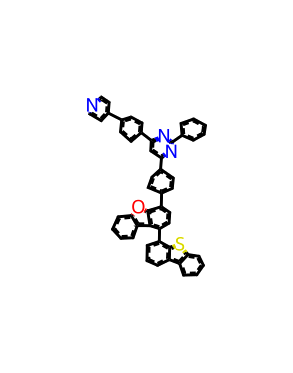 c1ccc(-c2nc(-c3ccc(-c4ccncc4)cc3)cc(-c3ccc(-c4ccc(-c5cccc6c5sc5ccccc56)c5c4oc4ccccc45)cc3)n2)cc1